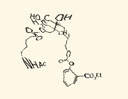 CCOC(=O)c1ccccc1OC(=O)OCCCC[C@](O)(C(=O)O)C(C)(C)COS(=O)(=O)CCCNC(C)=O